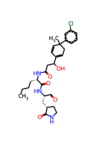 CCCC[C@H](NC(=O)CC(O)C1=CCC(C)(c2cccc(Cl)c2)C=C1)C(=O)N[C@H](C=O)C[C@@H]1CCNC1=O